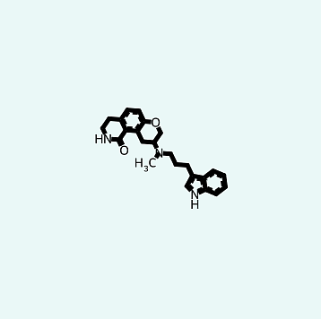 CN(CCCc1c[nH]c2ccccc12)C1COc2ccc3c(c2C1)C(=O)NCC3